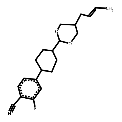 C/C=C/CC1COC(C2CCC(c3ccc(C#N)c(F)c3)CC2)OC1